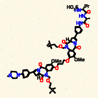 COc1cc2c(cc1OCCCOc1cc3c(cc1OC)C(=O)N1C=C(c4ccc(N5CCN(C)CC5)cc4)C[C@H]1C(=O)N3COCC[Si](C)(C)C)N(COCC[Si](C)(C)C)C(=O)[C@@H]1CC(c3ccc(NC(=O)[C@H](C)NC(=O)[C@@H](NC(=O)O)C(C)C)cc3)=CN1C2=O